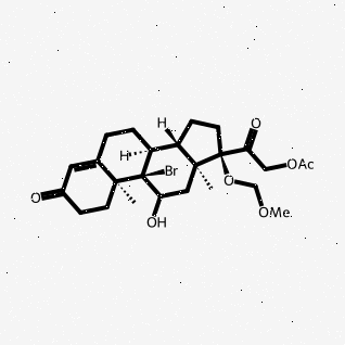 COCO[C@]1(C(=O)COC(C)=O)CC[C@H]2[C@@H]3CCC4=CC(=O)CC[C@]4(C)[C@@]3(Br)C(O)C[C@@]21C